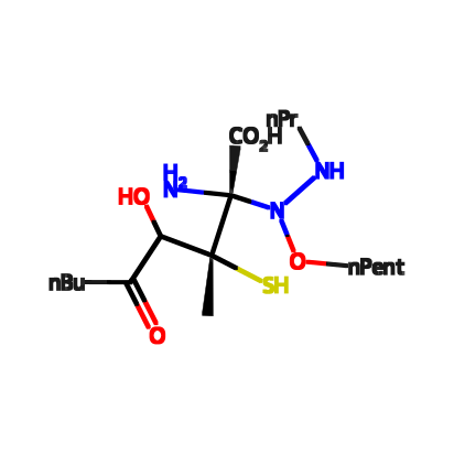 CCCCCON(NCCC)[C@](N)(C(=O)O)[C@](C)(S)C(O)C(=O)CCCC